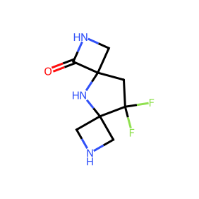 O=C1NCC12CC(F)(F)C1(CNC1)N2